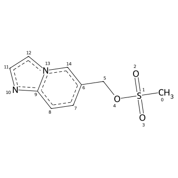 CS(=O)(=O)OCc1ccc2nccn2c1